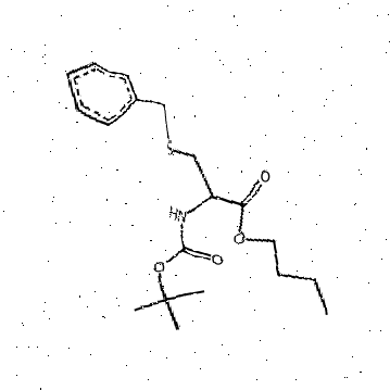 CCCCOC(=O)C(CSCc1ccccc1)NC(=O)OC(C)(C)C